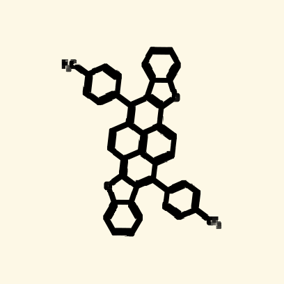 FC(F)(F)c1ccc(-c2c3ccc4c5oc6ccccc6c5c(-c5ccc(C(F)(F)F)cc5)c5ccc(c6oc7ccccc7c26)c3c54)cc1